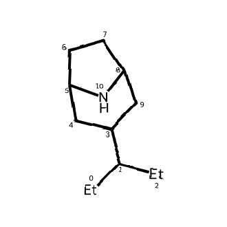 CCC(CC)C1CC2CCC(C1)N2